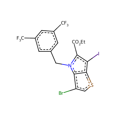 CCOC(=O)c1c(I)c2scc(Br)c2n1Cc1cc(C(F)(F)F)cc(C(F)(F)F)c1